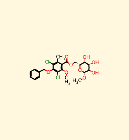 COc1c(Cl)c(OCc2ccccc2)c(Cl)c(C)c1C(=O)OC[C@H]1O[C@@H](OC)[C@H](O)[C@@H](O)[C@H]1O